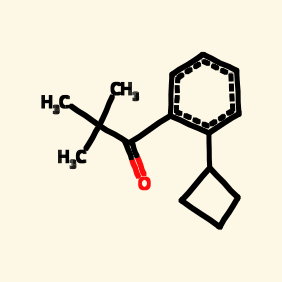 CC(C)(C)C(=O)c1ccccc1C1CCC1